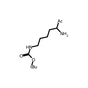 CC(=O)C(N)CCCCNC(=O)OC(C)(C)C